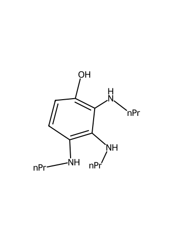 CCCNc1ccc(O)c(NCCC)c1NCCC